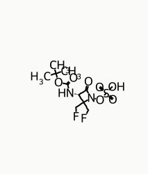 CC(C)(C)OC(=O)N[C@@H]1C(=O)N(OS(=O)(=O)O)C1(CF)CF